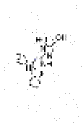 CC(C)(O)c1cnc(C(=N)/C=C(\NCc2ccccc2F)c2ccon2)nc1O